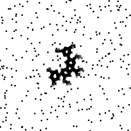 CC(C#N)=C1c2cc(OC(F)(F)F)c(-c3cc(C#N)cc(C#N)c3)cc2-c2cc(-c3cc(C#N)cc(C#N)c3)c(OC(F)(F)F)cc21